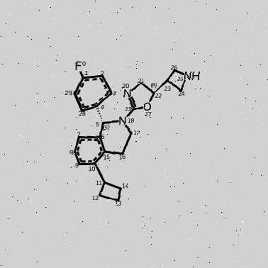 Fc1ccc([C@H]2c3cccc(C4CCC4)c3CCN2C2=NC[C@@H](C3CNC3)O2)cc1